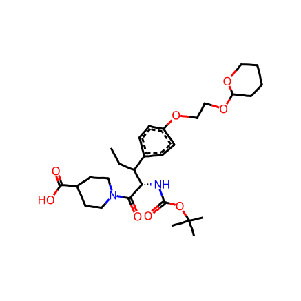 CCC(c1ccc(OCCOC2CCCCO2)cc1)[C@H](NC(=O)OC(C)(C)C)C(=O)N1CCC(C(=O)O)CC1